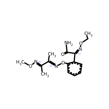 CCO/N=C(\C(N)=O)c1ccccc1O/N=C(C)/C(C)=N/OC